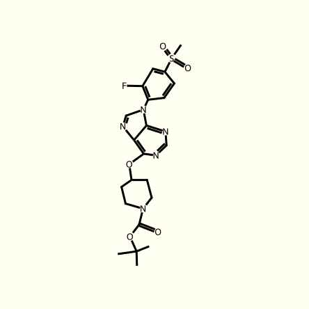 CC(C)(C)OC(=O)N1CCC(Oc2ncnc3c2ncn3-c2ccc(S(C)(=O)=O)cc2F)CC1